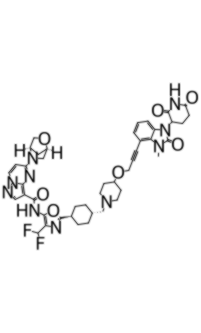 Cn1c(=O)n(C2CCC(=O)NC2=O)c2cccc(C#CCOC3CCN(C[C@H]4CC[C@H](c5nc(C(F)F)c(NC(=O)c6cnn7ccc(N8C[C@H]9C[C@@H]8CO9)nc67)o5)CC4)CC3)c21